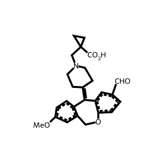 COc1ccc2c(c1)COc1ccc(C=O)cc1C2=C1CCN(CC2(C(=O)O)CC2)CC1